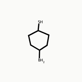 BC1CCC(S)CC1